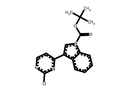 CC(C)(C)OC(=O)n1cc(-c2ccnc(Cl)n2)c2ccccc21